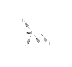 N#C[O][Pd](=[O])([C]#N)([C]#N)[C]#N